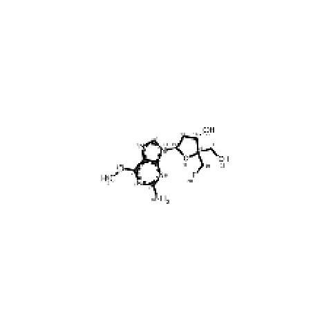 COc1nc(N)nc2c1ncn2[C@H]1C[C@H](O)[C@](CO)(CF)O1